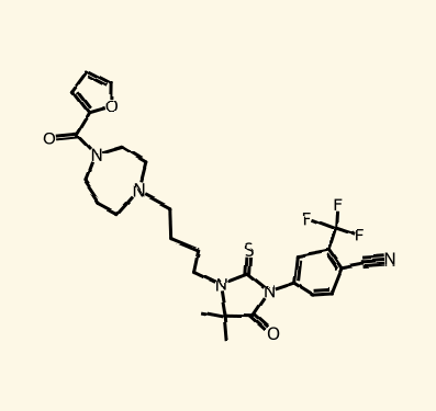 CC1(C)C(=O)N(c2ccc(C#N)c(C(F)(F)F)c2)C(=S)N1CCCCN1CCCN(C(=O)c2ccco2)CC1